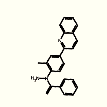 C=C(c1ccccc1)N(N)c1ccc(-c2ccc3ccccc3n2)cc1C